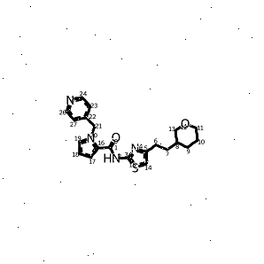 O=C(Nc1nc(CCC2CCCOC2)cs1)c1cccn1Cc1ccncc1